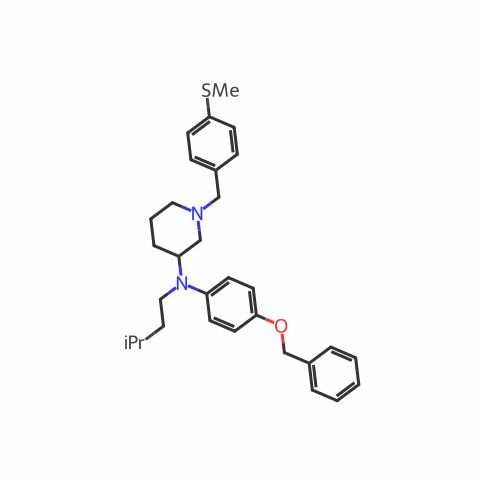 CSc1ccc(CN2CCCC(N(CCC(C)C)c3ccc(OCc4ccccc4)cc3)C2)cc1